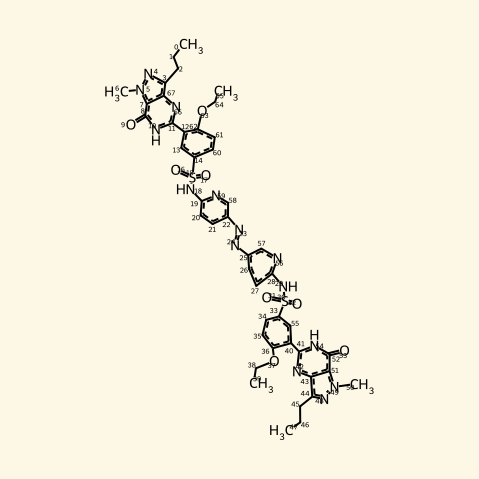 CCCc1nn(C)c2c(=O)[nH]c(-c3cc(S(=O)(=O)Nc4ccc(N=Nc5ccc(NS(=O)(=O)c6ccc(OCC)c(-c7nc8c(CCC)nn(C)c8c(=O)[nH]7)c6)nc5)cn4)ccc3OCC)nc12